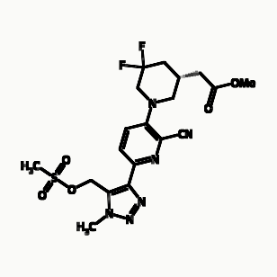 COC(=O)C[C@@H]1CN(c2ccc(-c3nnn(C)c3COS(C)(=O)=O)nc2C#N)CC(F)(F)C1